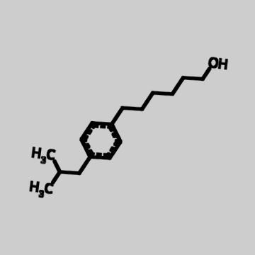 CC(C)Cc1ccc(CCCCCCO)cc1